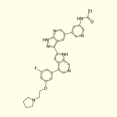 CCC(=O)Nc1cncc(-c2cnc3[nH]nc(-c4cc5c(-c6cc(F)cc(OCCN7CCCC7)c6)cncc5[nH]4)c3c2)c1